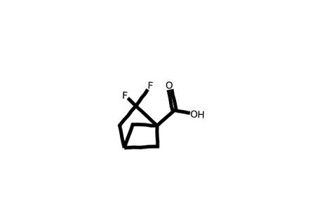 O=C(O)C12CC(CC1(F)F)C2